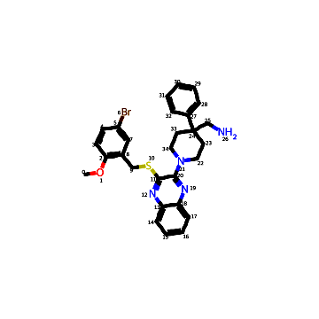 COc1ccc(Br)cc1CSc1nc2ccccc2nc1N1CCC(CN)(c2ccccc2)CC1